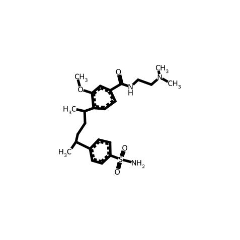 COc1cc(C(=O)NCCN(C)C)ccc1C(C)CCC(C)c1ccc(S(N)(=O)=O)cc1